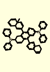 CC12C=CC=CC1C=C(c1c3c(c(-c4ccc5c(c4)CCC#C5)c4cc(N(c5ccccc5)c5ccccc5)ccc14)C=CC(N(c1ccccc1)c1ccccc1)C3)C=C2